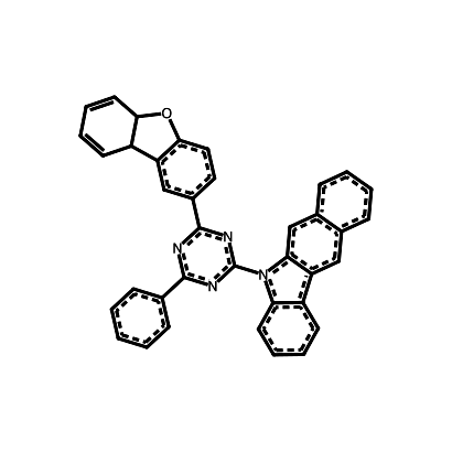 C1=CC2Oc3ccc(-c4nc(-c5ccccc5)nc(-n5c6ccccc6c6cc7ccccc7cc65)n4)cc3C2C=C1